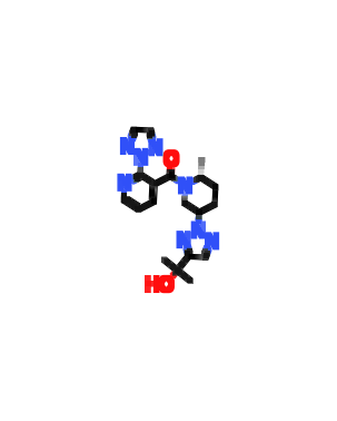 C[C@@H]1CC[C@@H](n2ncc(C(C)(C)O)n2)CN1C(=O)c1cccnc1-n1nccn1